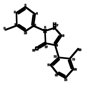 Cc1cccc(-n2[nH]cc(-c3ccccc3C)c2=O)c1